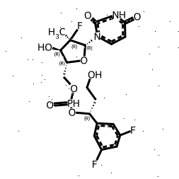 C[C@@]1(F)[C@H](O)[C@@H](CO[PH](=O)O[C@H](CCO)c2cc(F)cc(F)c2)O[C@H]1n1ccc(=O)[nH]c1=O